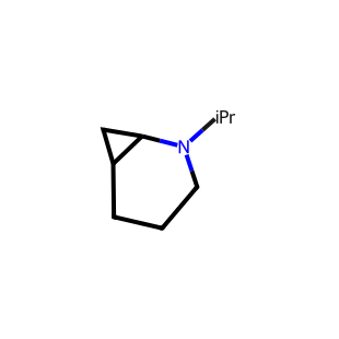 CC(C)N1CCCC2CC21